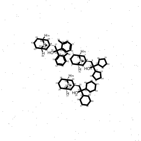 CN1[C@@H]2CCC[C@H]1C[C@@H](CC(O)(C1CCCC1)C1CCCC1)C2.CN1[C@@H]2CCC[C@H]1C[C@@H](CC(O)(C1CCCCC1)C1CCCCC1)C2.Cc1ccccc1C(O)(C[C@H]1C[C@H]2CCC[C@@H](C1)N2C)c1ccccc1C